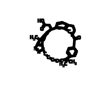 Cc1c2ccc3c1nnn3CCCCCC(C)(C)c1ccc(cc1)C(=O)N1CCc3ccc(cc3C1)C2CC(=O)O